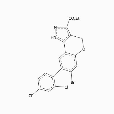 CCOC(=O)c1n[nH]c2c1COc1cc(Br)c(-c3ccc(Cl)cc3Cl)cc1-2